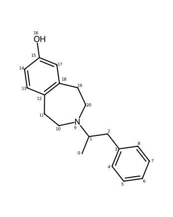 CC(Cc1ccccc1)N1CCc2ccc(O)cc2CC1